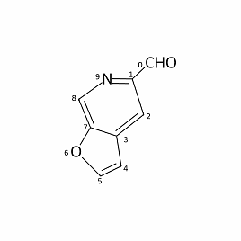 O=Cc1cc2ccoc2cn1